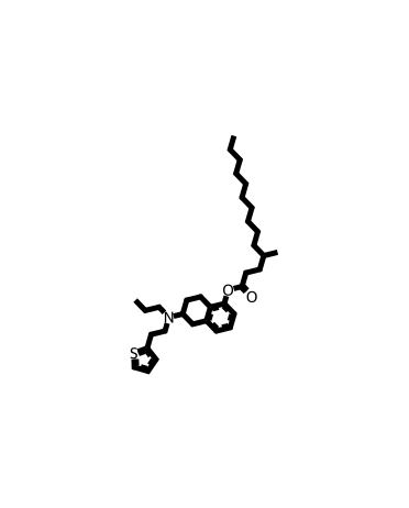 CCCCCCCCCCC(C)CCC(=O)Oc1cccc2c1CCC(N(CCC)CCc1cccs1)C2